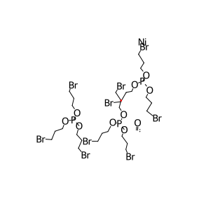 BrCCCOP(OCCCBr)OCCCBr.BrCCCOP(OCCCBr)OCCCBr.BrCCCOP(OCCCBr)OCCCBr.[C]=O.[Ni]